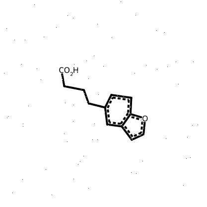 O=C(O)CCCc1ccc2occc2c1